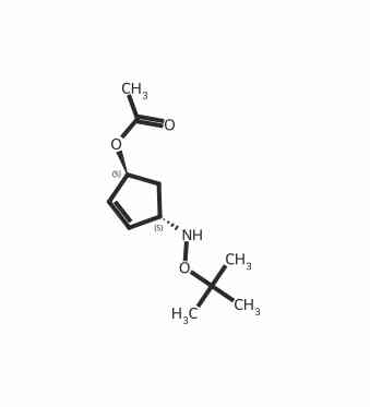 CC(=O)O[C@@H]1C=C[C@@H](NOC(C)(C)C)C1